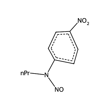 CCCN(N=O)c1ccc([N+](=O)[O-])cc1